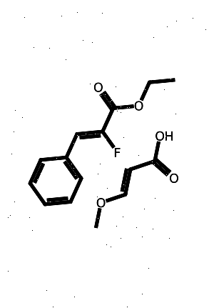 CCOC(=O)C(F)=Cc1ccccc1.COC=CC(=O)O